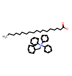 CCCCCCCCCCCCCCCCCC(=O)[O-].c1ccc(C[N+](c2ccccc2)(c2ccccc2)c2ccccc2)cc1